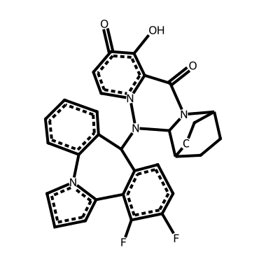 O=C1c2c(O)c(=O)ccn2N(C2c3ccccc3-n3cccc3-c3c2ccc(F)c3F)C2C3CCC(CC3)N12